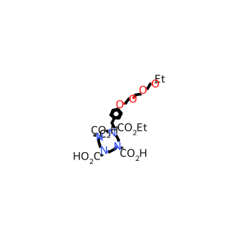 CCOCCOCCOCCOc1ccc(C[C@H](C(=O)OCC)N2CCN(CC(=O)O)CCN(CC(=O)O)CCN(CC(=O)O)CC2)cc1